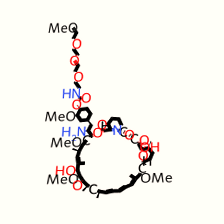 COCCOCCOCCOCCNC(=O)O[C@@H]1CC[C@@H](C[C@@H](N)[C@@H]2C[C@@H](OC)[C@H](C)/C=C(\C)[C@@H](O)[C@@H](OC)C(=O)[C@H](C)C[C@H](C)/C=C/C=C/C=C(\C)[C@@H](OC)C[C@@H]3CC[C@@H](C)[C@@](O)(O3)C(=O)COCN3CCCC[C@H]3C(=O)O2)C[C@H]1OC